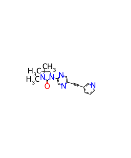 CN1C(=O)N(c2cnc(C#Cc3cccnc3)cn2)CC1(C)C